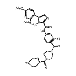 COc1ccc(-c2cnc(C(=O)Nc3ccc(C(=O)N4CCN(C(=O)C5CCNCC5)CC4)c(Cl)c3)n2C)c(OC)n1